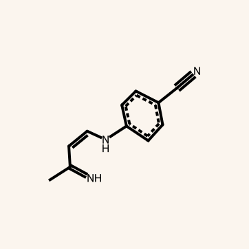 CC(=N)/C=C\Nc1ccc(C#N)cc1